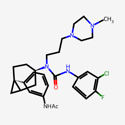 CC(=O)Nc1cccc([C@]23CC[C@@H](N(CCCN4CCN(C)CC4)C(=O)Nc4ccc(F)c(Cl)c4)CC2C3)c1